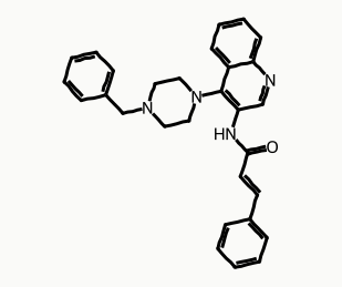 O=C(C=Cc1ccccc1)Nc1cnc2ccccc2c1N1CCN(Cc2ccccc2)CC1